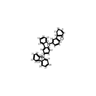 C1=Cc2oc3ccc(-n4c5ccccc5c5cc(-n6c7ccccc7c7ccccc76)ccc54)cc3c2CC1